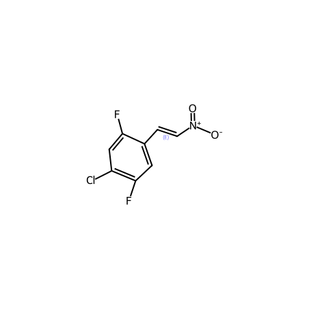 O=[N+]([O-])/C=C/c1cc(F)c(Cl)cc1F